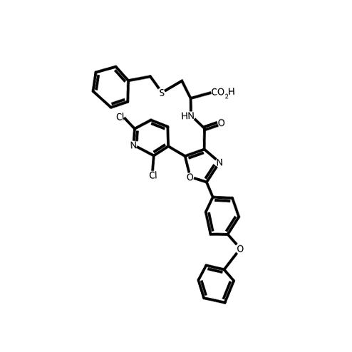 O=C(NC(CSCc1ccccc1)C(=O)O)c1nc(-c2ccc(Oc3ccccc3)cc2)oc1-c1ccc(Cl)nc1Cl